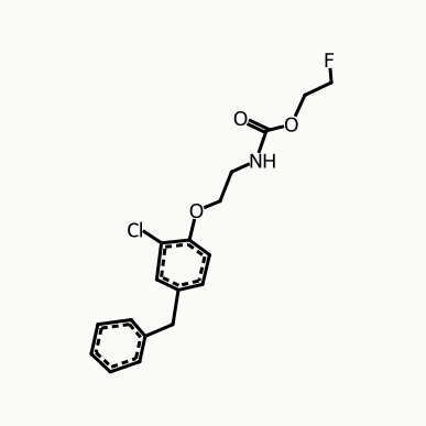 O=C(NCCOc1ccc(Cc2ccccc2)cc1Cl)OCCF